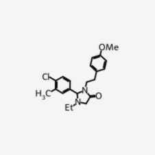 CCN1CC(=O)N(CCc2ccc(OC)cc2)C1c1ccc(Cl)c(C)c1